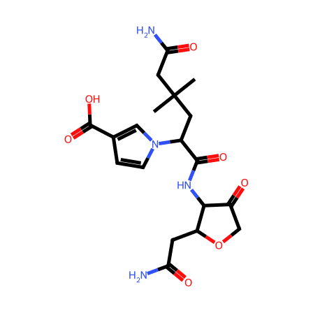 CC(C)(CC(N)=O)CC(C(=O)NC1C(=O)COC1CC(N)=O)n1ccc(C(=O)O)c1